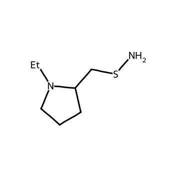 CCN1CCCC1CSN